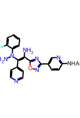 CC(=O)Nc1ccc(-c2noc(/C(N)=C(\c3ccncc3)N(N)c3ccccc3F)n2)cn1